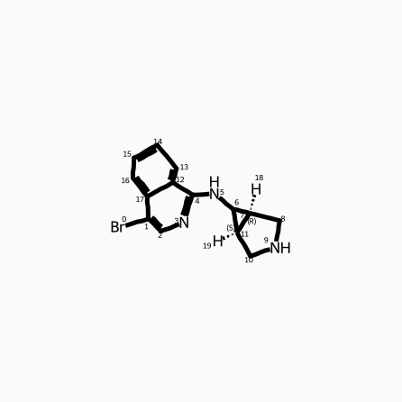 Brc1cnc(NC2[C@H]3CNC[C@@H]23)c2ccccc12